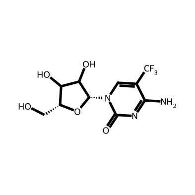 Nc1nc(=O)n([C@@H]2O[C@H](CO)C(O)C2O)cc1C(F)(F)F